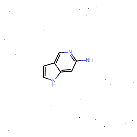 [NH]c1cc2[nH]ccc2cn1